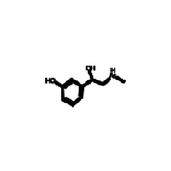 C[AsH]CC(O)c1cccc(O)c1